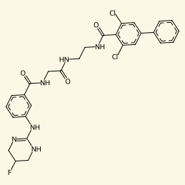 O=C(CNC(=O)c1cccc(NC2=NCC(F)CN2)c1)NCCNC(=O)c1c(Cl)cc(-c2ccccc2)cc1Cl